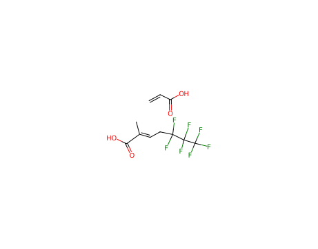 C/C(=C\CC(F)(F)C(F)(F)C(F)(F)F)C(=O)O.C=CC(=O)O